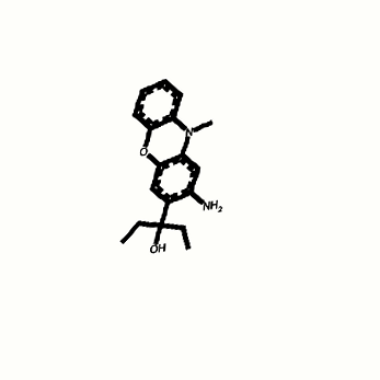 CCC(O)(CC)c1cc2c(cc1N)N(C)c1ccccc1O2